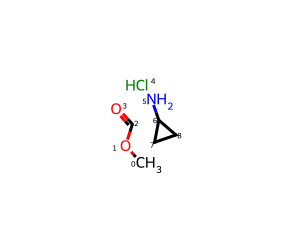 COC=O.Cl.NC1CC1